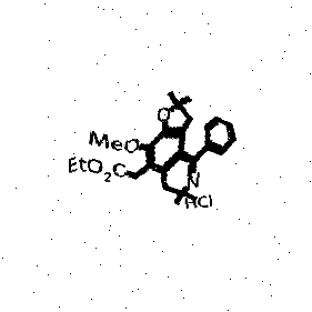 CCOC(=O)Cc1c2c(c3c(c1OC)OC(C)(C)C3)C(c1ccccc1)=NC(C)(C)C2.Cl